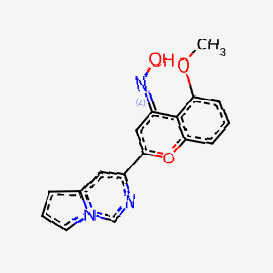 COc1cccc2oc(-c3cc4cccn4cn3)c/c(=N/O)c12